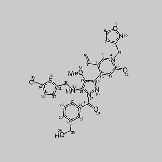 C=Cc1cn(Cc2ccon2)c(=O)cc1-c1nn(C(=O)c2cccc(CO)c2)c(NCc2ccc(Cl)s2)c1OC